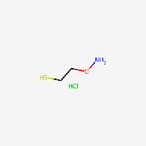 Cl.NOCCS